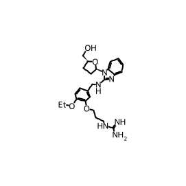 CCOc1ccc(CNc2nc3ccccc3n2[C@H]2CC[C@@H](CO)O2)cc1OCCCNC(=N)N